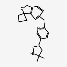 CC1(C)CN(c2ccc(Oc3ccc4c(c3)C3(CCC3)OC4)nc2)CN1